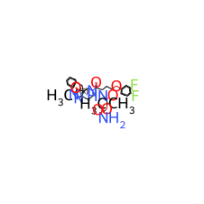 CN1N=C2CCN(C(=O)C(CCOc3ccc(F)c(F)c3)NC(=O)C(C)(C)OC(N)=O)C[C@@]2(Cc2ccccc2)C1=O